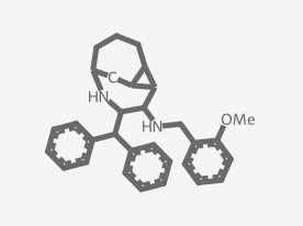 COc1ccccc1CNC1C(C(c2ccccc2)c2ccccc2)NC2CCCC3C(C2)C31